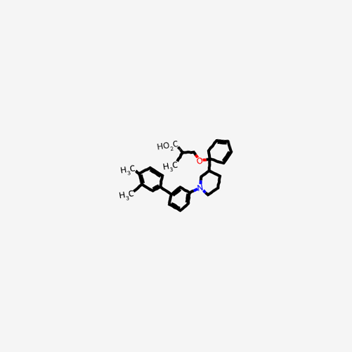 Cc1ccc(-c2cccc(N3CCCC(C4(OCC(C)C(=O)O)C=CC=CC4)C3)c2)cc1C